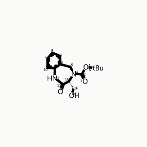 CC(C)(C)OC(=O)N1Cc2ccccc2NC(=O)[C@H]1CO